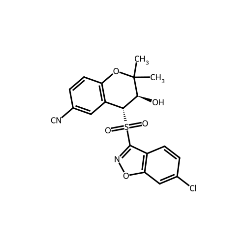 [C-]#[N+]c1ccc2c(c1)[C@@H](S(=O)(=O)c1noc3cc(Cl)ccc13)[C@H](O)C(C)(C)O2